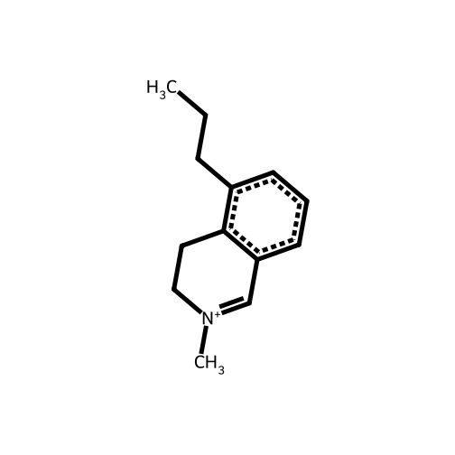 CCCc1cccc2c1CC[N+](C)=C2